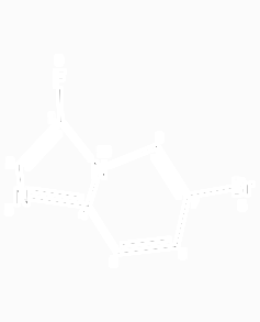 Fc1cnc2ccc(Br)cn12